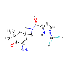 CC1(C)CC2(C=C(N)C1=O)CN(C(=O)c1ccn(C(F)F)n1)C2